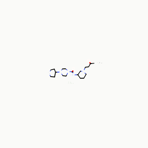 COC(=O)CCN1CCCC(NC(=O)N2CCN(C3CCNCC3)CC2)C1.Cl.Cl